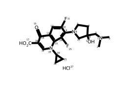 CN(C)CC1(O)CCN(c2c(F)cc3c(=O)c(C(=O)O)cn(C4CC4)c3c2F)C1.Cl